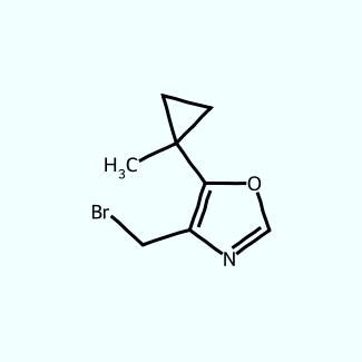 CC1(c2ocnc2CBr)CC1